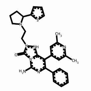 Cc1cc(-c2c(-c3ccccc3)nc(N)[n+]3c(=O)n(CCN4CCCC4c4cccs4)[nH]c23)cc(C)n1